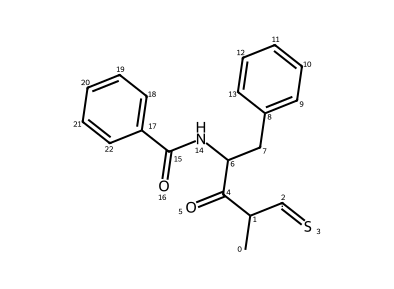 CC([C]=S)C(=O)C(Cc1ccccc1)NC(=O)c1ccccc1